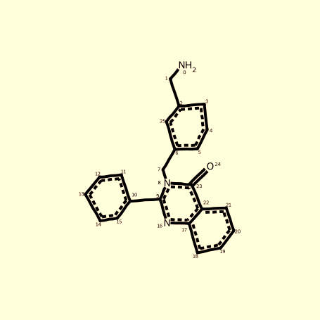 NCc1cccc(Cn2c(-c3ccccc3)nc3ccccc3c2=O)c1